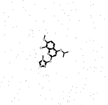 COc1ccc2c(OC(C)C)cc(Sc3nncn3C)nc2c1Cl